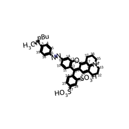 CCCCN(C)c1ccc(/N=N/c2ccc3c(c2)Oc2c4c5c(cc2=C3c2ccc(S(=O)(=O)O)cc2S(=O)(=O)O)CCC[N+]=5CCC4)cc1